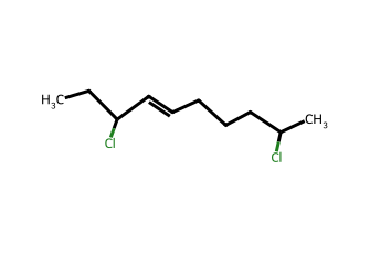 CCC(Cl)C=CCCCC(C)Cl